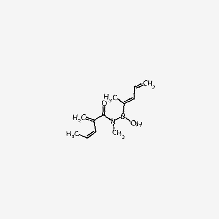 C=C/C=C(\C)B(O)N(C)C(=O)C(=C)/C=C\C